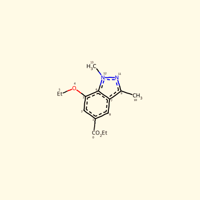 CCOC(=O)c1cc(OCC)c2c(c1)c(C)nn2C